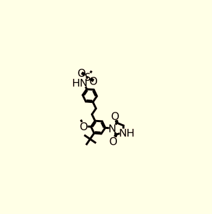 COc1c(CCc2ccc(NS(C)(=O)=O)cc2)cc(N2C(=O)CNC2=O)cc1C(C)(C)C